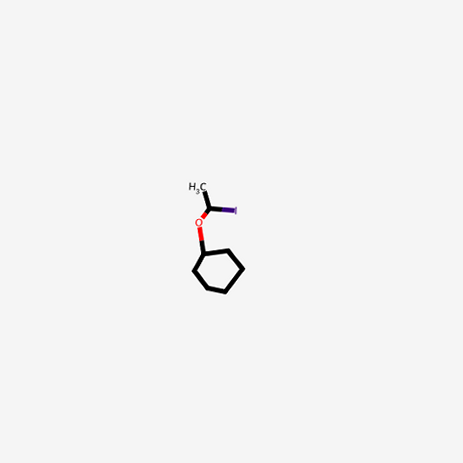 CC(I)OC1CCCCC1